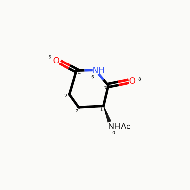 CC(=O)N[C@H]1CCC(=O)NC1=O